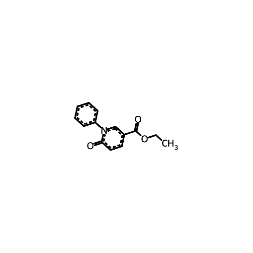 CCOC(=O)c1ccc(=O)n(-c2ccccc2)c1